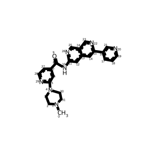 CN1CCN(c2cc(C(=O)Nc3cc4cc(-c5cccnc5)ncc4cn3)ccn2)CC1